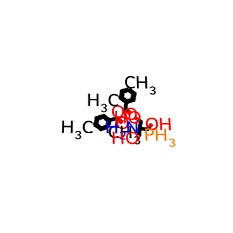 Cc1ccc(C(=O)OC(=O)c2ccc(C)cc2C)c(C)c1.NC(CO)(CO)CO.P